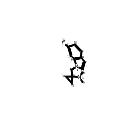 CN(C)C1(Cn2ccc3ccc(F)cc32)CC1